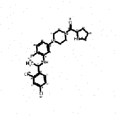 CC(Nc1cc(N2CCN(C(=O)C3CCCN3)CC2)ccc1F)c1ccc(Cl)cc1Cl